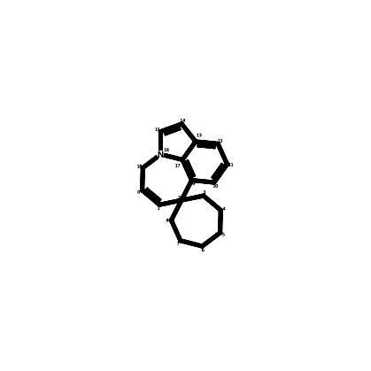 C1=CC2(CCCCCC2)c2cccc3ccn(c23)C1